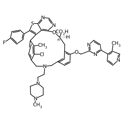 Cc1cnccc1-c1ccnc(COc2ccc3cc2C[C@H](C(=O)O)Oc2ncnc4sc(-c5ccc(F)cc5)c(c24)-c2ccc(c(Cl)c2C)CN(CCN2CCN(C)CC2)C3)n1